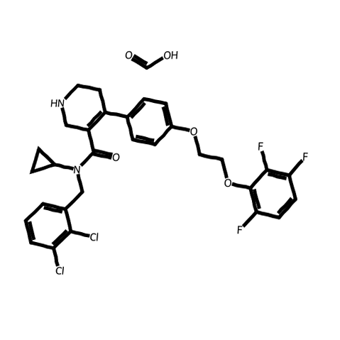 O=C(C1=C(c2ccc(OCCOc3c(F)ccc(F)c3F)cc2)CCNC1)N(Cc1cccc(Cl)c1Cl)C1CC1.O=CO